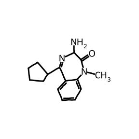 CN1C(=O)C(N)N=C(C2CCCC2)c2ccccc21